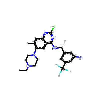 CCN1CCN(c2cc3c(N[C@H](C)c4cc(N)cc(C(F)(F)F)c4)nc(Cl)nc3cc2C)CC1